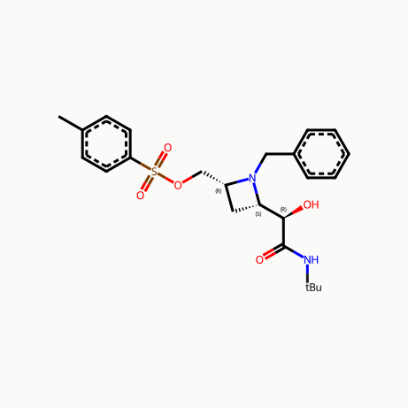 Cc1ccc(S(=O)(=O)OC[C@H]2C[C@@H]([C@@H](O)C(=O)NC(C)(C)C)N2Cc2ccccc2)cc1